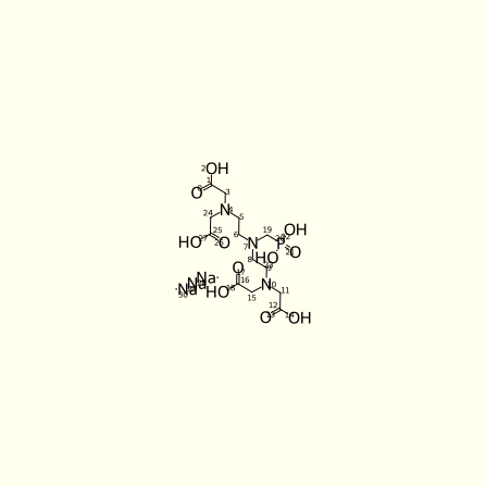 O=C(O)CN(CCN(CCN(CC(=O)O)CC(=O)O)CP(=O)(O)O)CC(=O)O.[Na].[Na].[Na]